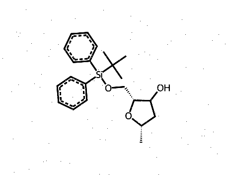 C[C@H]1CC(O)[C@@H](CO[Si](c2ccccc2)(c2ccccc2)C(C)(C)C)O1